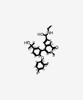 CCNC(O)c1cc2c(-c3cc(C(C)(C)O)ccc3Oc3ccc(F)cc3F)cn(C)c(=O)c2s1